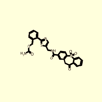 NC(=O)OCc1ccccc1-c1ncc(CNC(=O)c2ccc3c(c2)CC(=O)c2ccccc2S3(=O)=O)s1